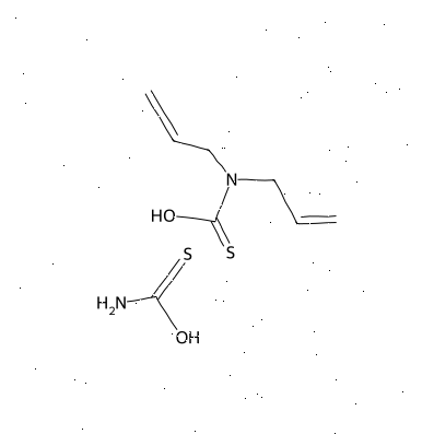 C=CCN(CC=C)C(O)=S.NC(O)=S